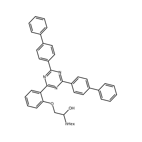 CCCCCCC(O)COc1ccccc1-c1nc(-c2ccc(-c3ccccc3)cc2)nc(-c2ccc(-c3ccccc3)cc2)n1